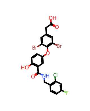 O=C(O)Cc1cc(Br)c(Oc2ccc(O)c(C(=O)NCc3ccc(F)cc3Cl)c2)c(Br)c1